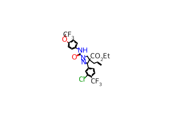 C=CCC1(C(=O)OCC)CN(C(=O)Nc2ccc(OC(F)(F)F)cc2)N=C1c1ccc(C(F)(F)F)c(Cl)c1